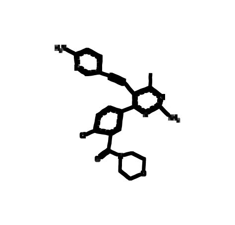 Cc1nc(N)nc(-c2ccc(Cl)c(C(=O)N3CCOCC3)c2)c1C#Cc1ccc(N)nc1